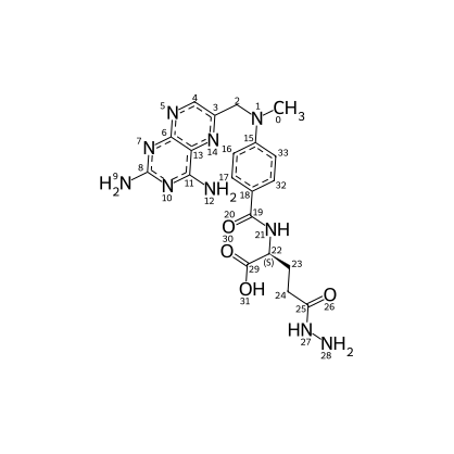 CN(Cc1cnc2nc(N)nc(N)c2n1)c1ccc(C(=O)N[C@@H](CCC(=O)NN)C(=O)O)cc1